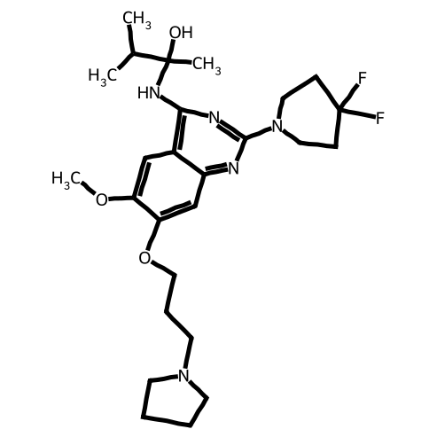 COc1cc2c(NC(C)(O)C(C)C)nc(N3CCC(F)(F)CC3)nc2cc1OCCCN1CCCC1